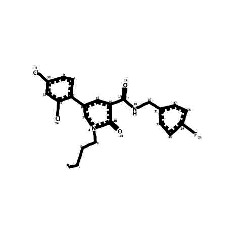 CCCCn1cc(-c2ccc(Cl)cc2Cl)cc(C(=O)NCc2ccc(F)cc2)c1=O